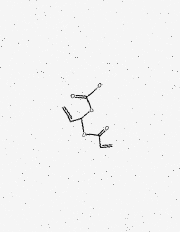 C=CC(=O)OC(C=C)OC([O])=O